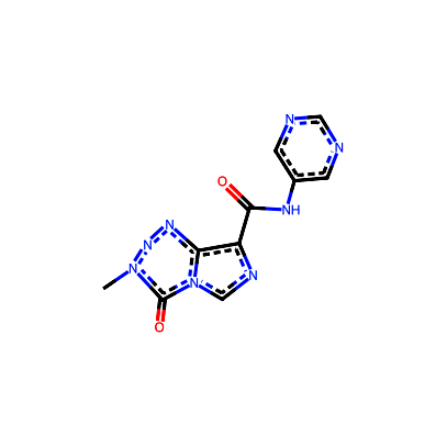 Cn1nnc2c(C(=O)Nc3cncnc3)ncn2c1=O